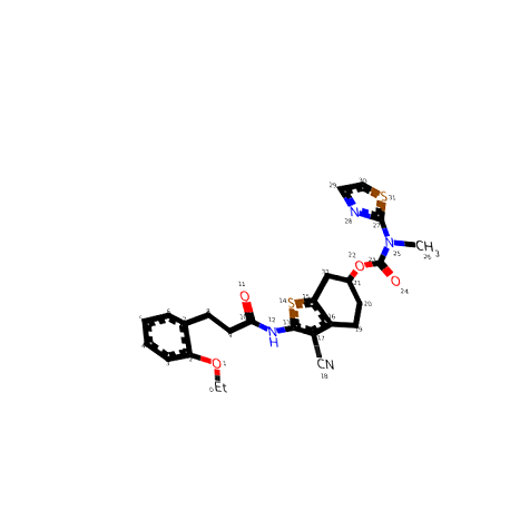 CCOc1ccccc1CCC(=O)Nc1sc2c(c1C#N)CCC(OC(=O)N(C)c1nccs1)C2